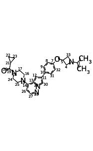 CC(C)N1CC(Oc2ccc(-c3cc4c(N5CCN(C(=O)C6CC6)CC5)ccnn4c3)cc2)C1